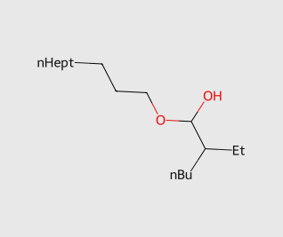 CCCCCCCCCCOC(O)C(CC)CCCC